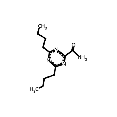 CCCCc1nc(CCCC)nc(C(N)=O)n1